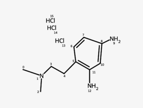 CN(C)CCc1ccc(N)cc1N.Cl.Cl.Cl